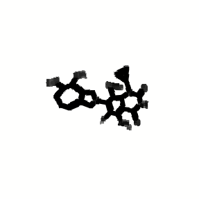 COc1c(N2CC3=CCCC(O)C(O)C3C2)c(F)c(N)c2c(=O)[nH]c(=O)n(C3CC3)c12